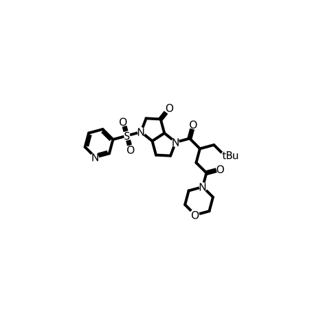 CC(C)(C)CC(CC(=O)N1CCOCC1)C(=O)N1CCC2C1C(=O)CN2S(=O)(=O)c1cccnc1